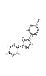 Ic1ccc(-c2cnc(-c3ccncc3)o2)cc1